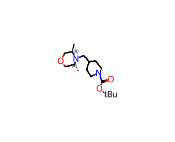 C[C@@H]1COC[C@@H](C)N1CC1CCN(C(=O)OC(C)(C)C)CC1